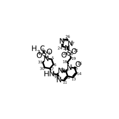 CS(=O)(=O)N1CCC(Nc2ncc3ccc(=O)n(CCS(=O)(=O)n4cncn4)c3n2)CC1